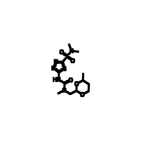 CC1CCOC(CN(C)C(=O)Nc2nnc(S(=O)(=O)N(C)C)s2)O1